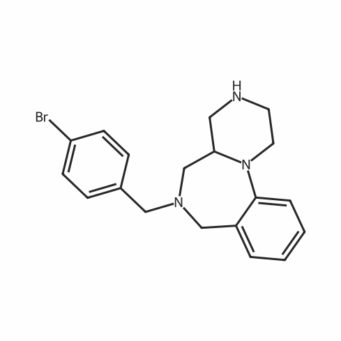 Brc1ccc(CN2Cc3ccccc3N3CCNCC3C2)cc1